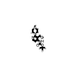 CN1CCN(c2nccc(NC(=O)OC(C)(C)C)c2C=O)CC1